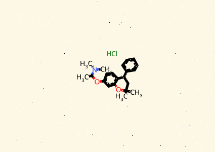 CC(Oc1ccc2c(c1)OC(C)(C)CC2c1ccccc1)N(C)C.Cl